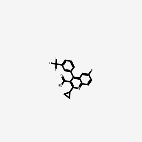 O=C(O)c1c(C2CC2)nc2ccc(Cl)cc2c1-c1cccc(C(F)(F)F)c1